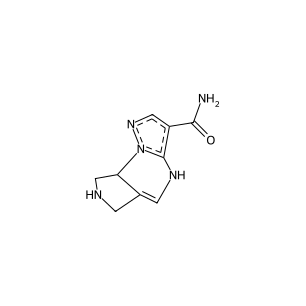 NC(=O)c1cnn2c1NC=C1CNCC12